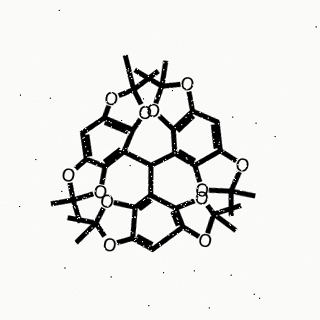 CC1(C)Oc2cc3c(c(C(c4c5c(cc6c4OC(C)(C)O6)OC(C)(C)O5)c4c5c(cc6c4OC(C)(C)O6)OC(C)(C)O5)c2O1)OC(C)(C)O3